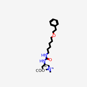 C[N+](C)(C)C[C@@H](CC(=O)[O-])NC(=O)NCCCCCCOCCc1ccccc1